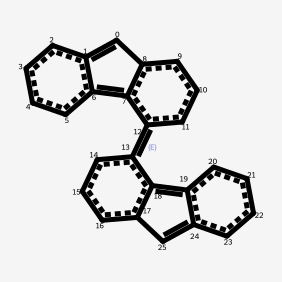 C1=c2ccccc2=c2c1ccc/c2=c1/cccc2c1=c1ccccc1=C2